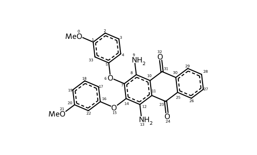 COc1cccc(Oc2c(N)c3c(c(N)c2Oc2cccc(OC)c2)C(=O)c2ccccc2C3=O)c1